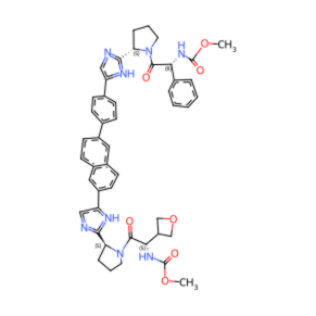 COC(=O)N[C@H](C(=O)N1CCC[C@H]1c1ncc(-c2ccc3cc(-c4ccc(-c5cnc([C@@H]6CCCN6C(=O)[C@H](NC(=O)OC)c6ccccc6)[nH]5)cc4)ccc3c2)[nH]1)C1COC1